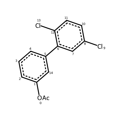 CC(=O)Oc1cccc(-c2cc(Cl)c[c]c2Cl)c1